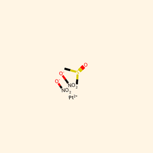 CS(C)=O.O=[N+]([O-])[O-].O=[N+]([O-])[O-].[Pt+2]